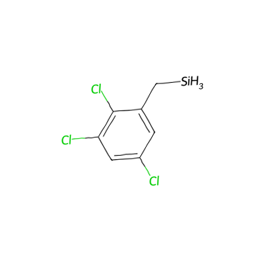 [SiH3]Cc1cc(Cl)cc(Cl)c1Cl